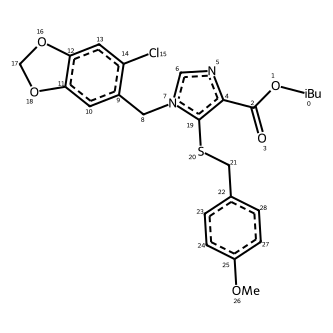 CCC(C)OC(=O)c1ncn(Cc2cc3c(cc2Cl)OCO3)c1SCc1ccc(OC)cc1